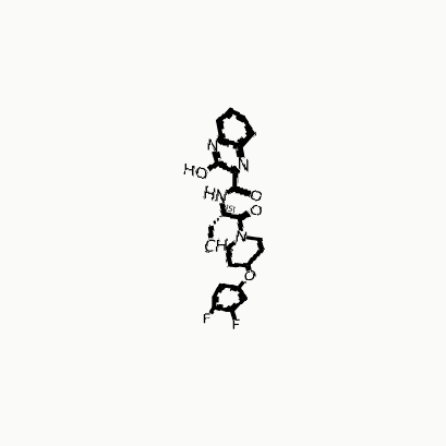 CC[C@H](NC(=O)c1nc2ccccc2nc1O)C(=O)N1CCC(Oc2ccc(F)c(F)c2)CC1